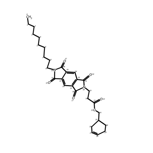 CCCCCCCCCCn1c(=O)c2cc3c(=O)n(CCC(=O)OCC4CC=CCC4)c(=O)c3cc2c1=O